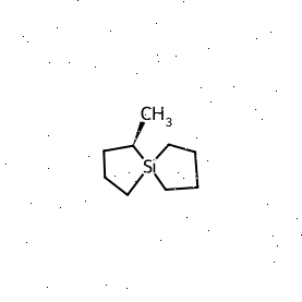 C[C@@H]1CCC[Si]12CCCC2